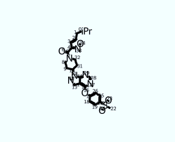 CC(C)Cc1cc(C(=O)N2CCC(n3ncc4c(Oc5ccc(S(C)(=O)=O)cc5)ncnc43)CC2)no1